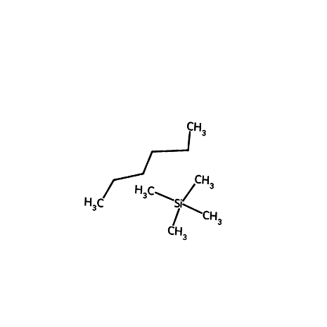 CCCCCC.C[Si](C)(C)C